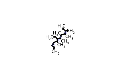 B/C(CC)=C(C)/C(C)=C(C)/C(C=C)=C(C)/C=C\C=C